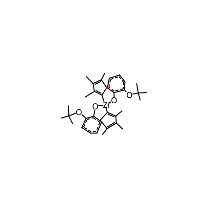 CC1=C(C)C(C)=[C]([Zr]([O]c2ccccc2OC(C)(C)C)([O]c2ccccc2OC(C)(C)C)[C]2=C(C)C(C)=C(C)C2)C1